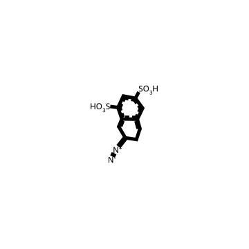 [N-]=[N+]=C1C=c2c(S(=O)(=O)O)cc(S(=O)(=O)O)cc2=CC1